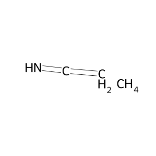 C.C=C=N